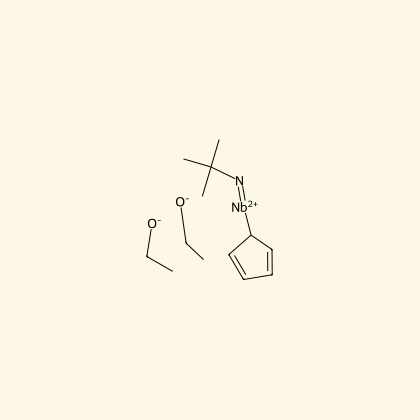 CC(C)(C)[N]=[Nb+2][CH]1C=CC=C1.CC[O-].CC[O-]